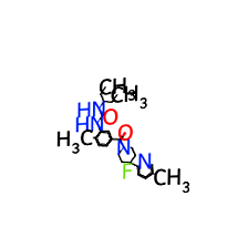 CCC(CC)NC(=O)Nc1cc(C(=O)N2CCC(F)(c3ccc(C)cn3)CC2)ccc1C